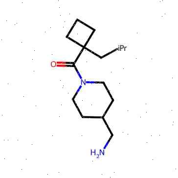 CC(C)CC1(C(=O)N2CCC(CN)CC2)CCC1